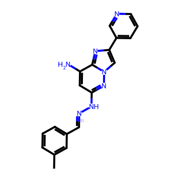 Cc1cccc(/C=N/Nc2cc(N)c3nc(-c4cccnc4)cn3n2)c1